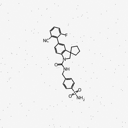 N#Cc1cccc(F)c1-c1ccc2c(c1)C1(CCCC1)CN2C(=O)NCc1ccc(S(N)(=O)=O)cc1